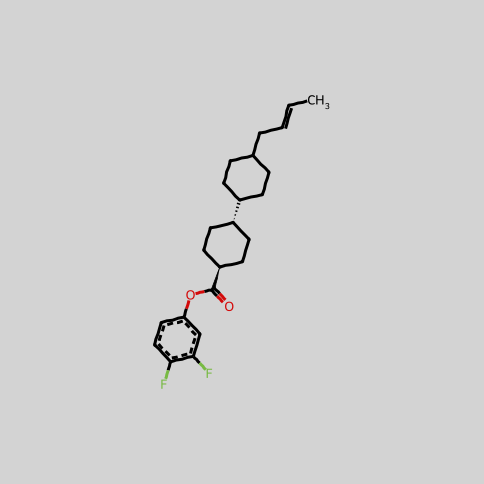 C/C=C/CC1CCC([C@H]2CC[C@H](C(=O)Oc3ccc(F)c(F)c3)CC2)CC1